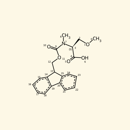 COC[C@@H](C(=O)O)N(C)C(=O)OCC1c2ccccc2-c2ccccc21